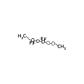 CCCCCc1ccc(-c2ccc(-c3ccc(C4CCC(C5CCC(CCC)CC5)CC4)c(F)c3F)cc2)c(F)c1F